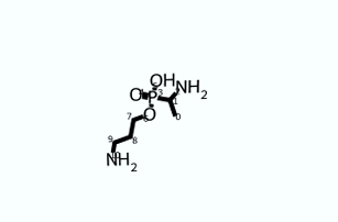 CC(N)P(=O)(O)OCCCN